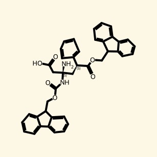 N[C@@](CC(=O)O)(C[C@H](C(=O)OCC1c2ccccc2-c2ccccc21)c1ccccc1)NC(=O)OCC1c2ccccc2-c2ccccc21